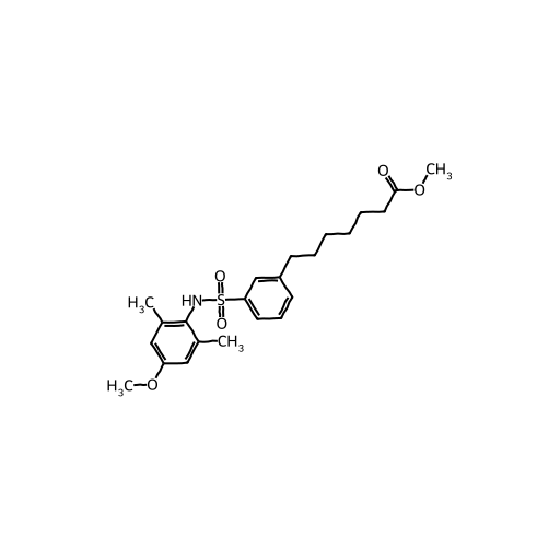 COC(=O)CCCCCCc1cccc(S(=O)(=O)Nc2c(C)cc(OC)cc2C)c1